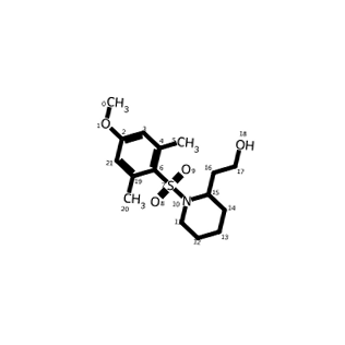 COc1cc(C)c(S(=O)(=O)N2CCCCC2CCO)c(C)c1